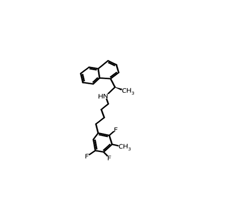 Cc1c(F)c(F)cc(CCCCN[C@H](C)c2cccc3ccccc23)c1F